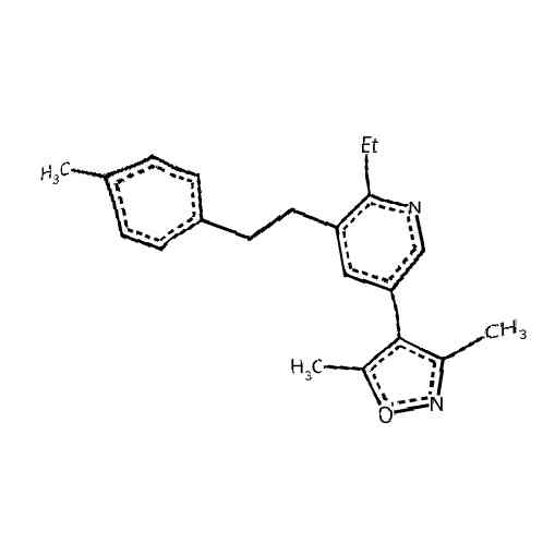 CCc1ncc(-c2c(C)noc2C)cc1CCc1ccc(C)cc1